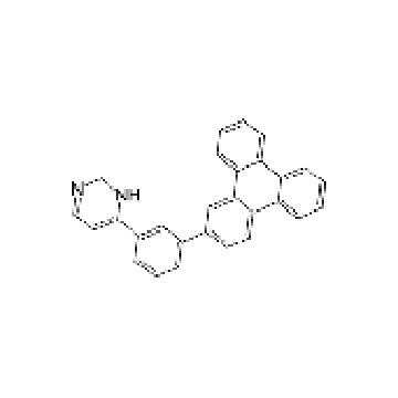 C1=NCNC(c2cccc(-c3ccc4c5ccccc5c5ccccc5c4c3)c2)=C1